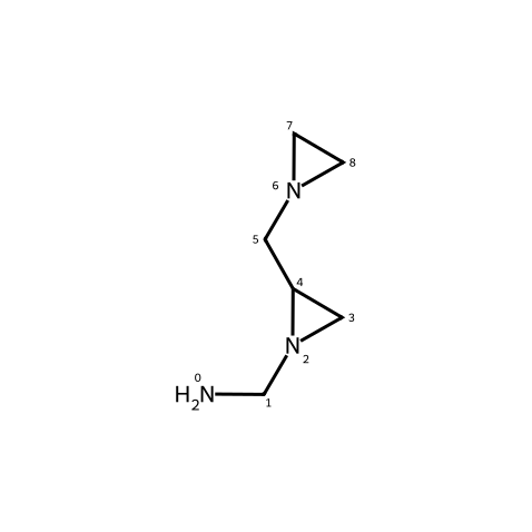 NCN1CC1CN1CC1